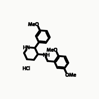 COc1cccc(C2NCCCC2NCc2cc(OC)ccc2OC)c1.Cl